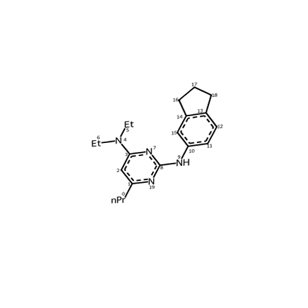 CCCc1cc(N(CC)CC)nc(Nc2ccc3c(c2)CCC3)n1